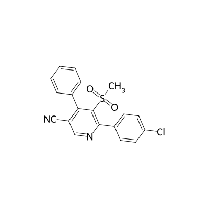 CS(=O)(=O)c1c(-c2ccc(Cl)cc2)ncc(C#N)c1-c1ccccc1